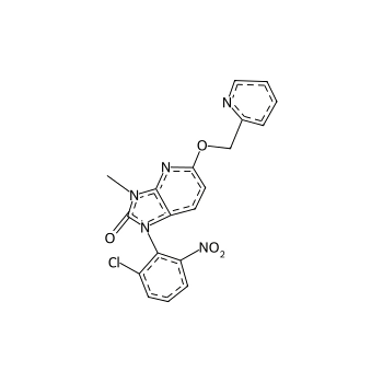 Cn1c(=O)n(-c2c(Cl)cccc2[N+](=O)[O-])c2ccc(OCc3ccccn3)nc21